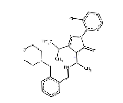 C/C(NCc1ccccc1CN1CCOCC1)=C1\C(=O)N(c2ccccc2Cl)N=C1C(C)C(=O)O